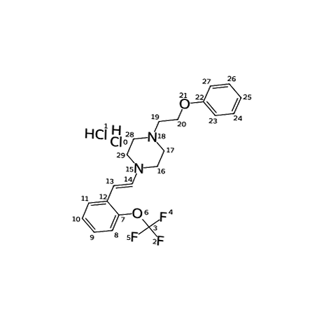 Cl.Cl.FC(F)(F)Oc1ccccc1C=CN1CCN(CCOc2ccccc2)CC1